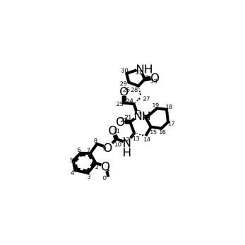 COc1ccccc1COC(=O)N[C@@H](CC1CCCCC1)C(=O)N[C@H](C=O)C[C@@H]1CCNC1=O